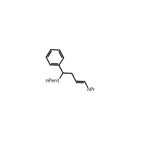 CCCC=CCC(CCCCC)c1ccccc1